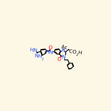 CC(=O)N1c2ccc(NC(=O)c3ccc(C(=N)N)cc3)cc2C(=O)N(CCc2ccccc2)CC1CC(=O)O